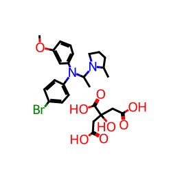 COc1cccc(N(c2ccc(Br)cc2)C(C)N2CCCC2C)c1.O=C(O)CC(O)(CC(=O)O)C(=O)O